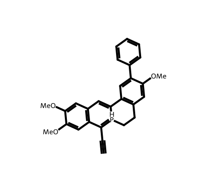 C#CC1=[PH]2CCc3cc(OC)c(-c4ccccc4)cc3C2=Cc2cc(OC)c(OC)cc21